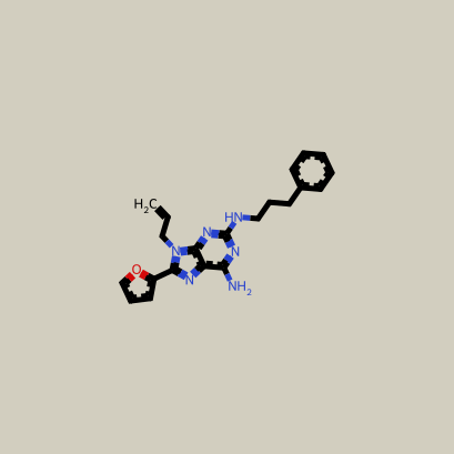 C=CCn1c(-c2ccco2)nc2c(N)nc(NCCCc3ccccc3)nc21